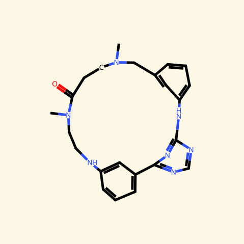 CN1CCC(=O)N(C)CCNc2cccc(c2)-c2ncnc(n2)Nc2cccc(c2)C1